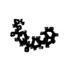 CCOC(=O)N1CCN(C(=O)c2ccc(-n3cnc4ccccc43)cc2)CC1